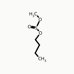 CCCCOS(=O)OC